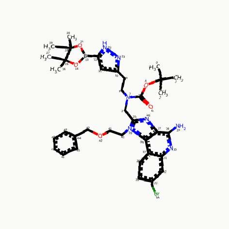 CC(C)(C)OC(=O)N(CCc1cc(B2OC(C)(C)C(C)(C)O2)[nH]n1)Cc1nc2c(N)nc3cc(Br)ccc3c2n1CCOCc1ccccc1